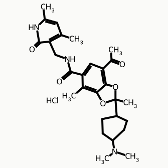 CC(=O)c1cc(C(=O)NCc2c(C)cc(C)[nH]c2=O)c(C)c2c1OC(C)(C1CCC(N(C)C)CC1)O2.Cl